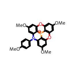 COc1ccc(N2c3cc(OC)cc4c3P3(=O)c5c(cc(OC)cc5Oc5cc(OC)cc2c53)O4)cc1